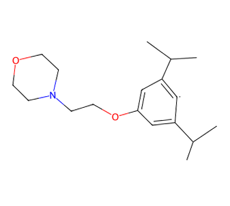 CC(C)c1[c]c(C(C)C)cc(OCCN2CCOCC2)c1